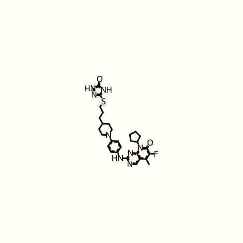 Cc1c(F)c(=O)n(C2CCCC2)c2nc(Nc3ccc(N4CCC(CCCSc5n[nH]c(=O)[nH]5)CC4)cc3)ncc12